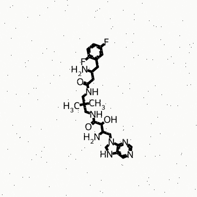 CC(C)(CNC(=O)CC(N)Cc1cc(F)ccc1F)CNC(=O)C(O)C(N)CN1CNc2cncnc21